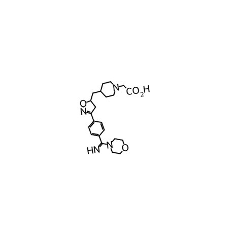 N=C(c1ccc(C2=NOC(CC3CCN(CC(=O)O)CC3)C2)cc1)N1CCOCC1